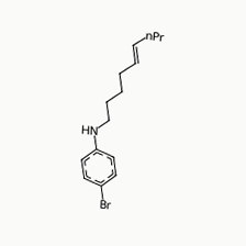 CCCC=CCCCCNc1ccc(Br)cc1